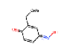 COCC1=C/C(=N\O)C=CC1=O